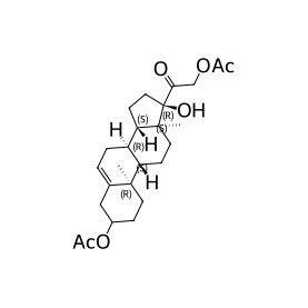 CC(=O)OCC(=O)[C@@]1(O)CC[C@H]2[C@@H]3CC=C4CC(OC(C)=O)CC[C@]4(C)[C@H]3CC[C@@]21C